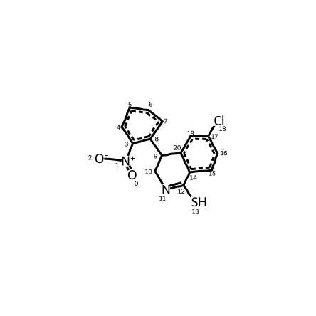 O=[N+]([O-])c1ccccc1C1CN=C(S)c2ccc(Cl)cc21